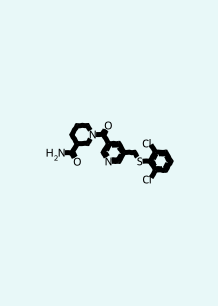 NC(=O)C1CCCN(C(=O)c2cncc(CSc3c(Cl)cccc3Cl)c2)C1